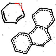 C1=CCOC=C1.c1ccc2c(c1)ccc1ccccc12